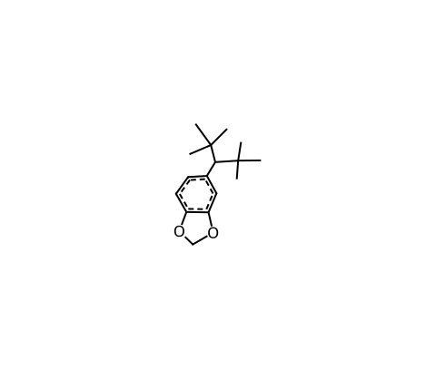 CC(C)(C)C(c1ccc2c(c1)OCO2)C(C)(C)C